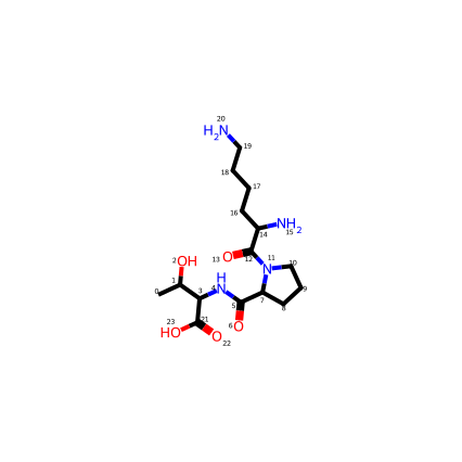 CC(O)C(NC(=O)C1CCCN1C(=O)C(N)CCCCN)C(=O)O